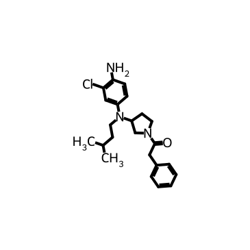 CC(C)CCN(c1ccc(N)c(Cl)c1)C1CCN(C(=O)Cc2ccccc2)C1